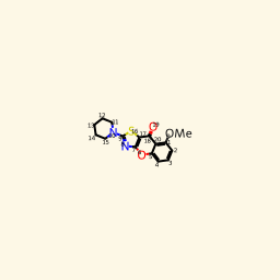 COc1cccc2oc3nc(N4CCCCC4)sc3c(=O)c12